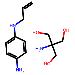 C=CCNc1ccc(N)cc1.NC(CO)(CO)CO